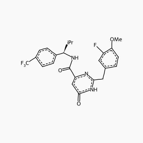 COc1ccc(Cc2nc(C(=O)N[C@@H](c3ccc(C(F)(F)F)cc3)C(C)C)cc(=O)[nH]2)cc1F